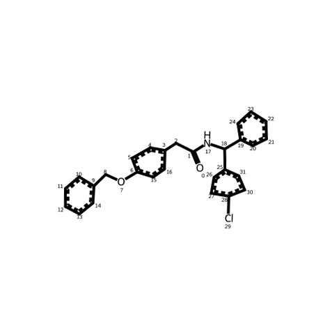 O=C(Cc1ccc(OCc2ccccc2)cc1)NC(c1ccccc1)c1ccc(Cl)cc1